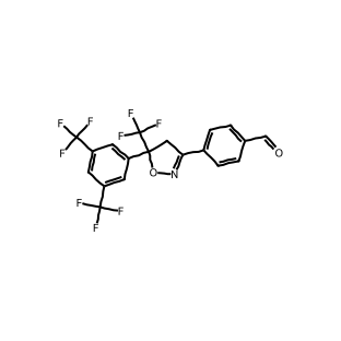 O=Cc1ccc(C2=NOC(c3cc(C(F)(F)F)cc(C(F)(F)F)c3)(C(F)(F)F)C2)cc1